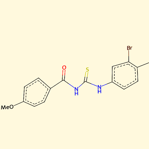 COc1ccc(C(=O)NC(=S)Nc2ccc(C)c(Br)c2)cc1